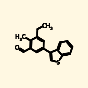 CCc1cc(-c2csc3ccccc23)cc(C=O)c1C